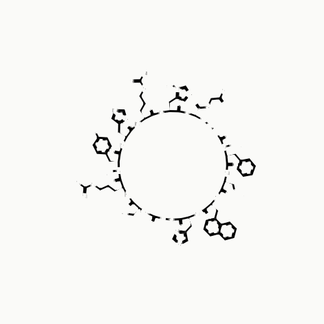 CC[C@@H]1NC(=O)[C@H](Cc2ccccc2)N(C)C(=O)CSC[C@@H](C(=O)NCC(N)=O)NC(=O)[C@H](Cc2cncn2C)NC(=O)[C@H](CCCNC(=N)N)NC(=O)[C@H](Cc2c[nH]cn2)NC(=O)[C@H](Cc2ccc(O)cc2)N(C)C(=O)[C@H](CCCNC(=N)N)NC(=O)[C@H](CO)NC(=O)CNC(=O)[C@H](Cc2c[nH]cn2)NC(=O)[C@H](Cc2cccc3ccccc23)NC1=O